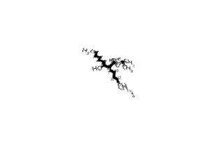 CCCCCC[C@H](O)[C@H](CCCCC)C(=O)OC(C)(C)C